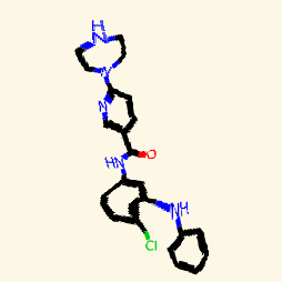 O=C(Nc1ccc(Cl)c(Nc2ccccc2)c1)c1ccc(N2CCNCC2)nc1